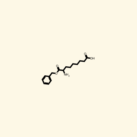 NC(CCCCCCC(=O)O)C(=O)OCc1ccccc1